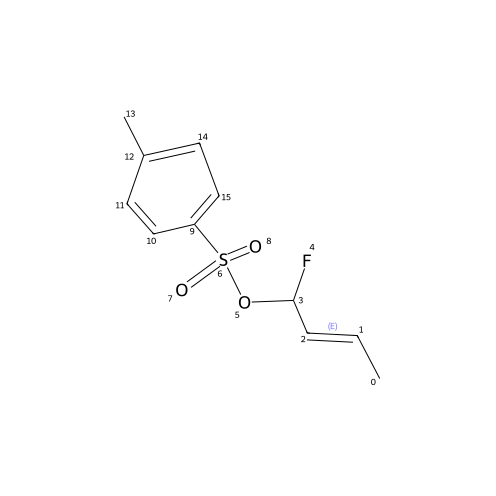 C/C=C/C(F)OS(=O)(=O)c1ccc(C)cc1